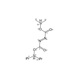 CC(C)[SiH](OC(=O)N=NC(=O)O[SiH](C)C)C(C)C